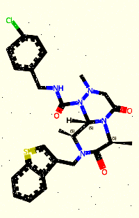 C[C@H]1[C@H]2N(C(=O)CN(C)N2C(=O)NCc2ccc(Cl)cc2)[C@@H](C)C(=O)N1Cc1csc2ccccc12